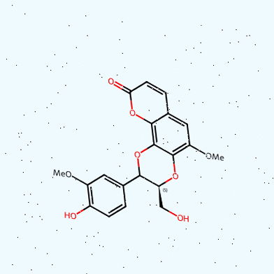 COc1cc(C2Oc3c(c(OC)cc4ccc(=O)oc34)O[C@H]2CO)ccc1O